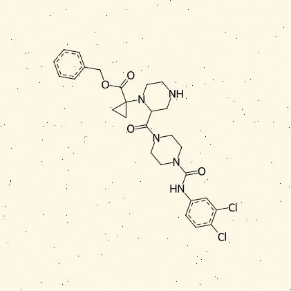 O=C(Nc1ccc(Cl)c(Cl)c1)N1CCN(C(=O)C2CNCCN2C2(C(=O)OCc3ccccc3)CC2)CC1